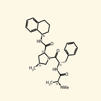 CN[C@@H](C)C(=O)N[C@@H](Cc1ccccc1)C(=O)N1C[C@@H](C)C[C@H]1C(=O)N[C@@H]1CCCc2ccccc21